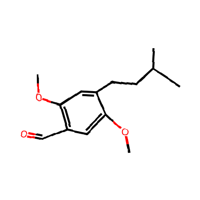 COc1cc(CCC(C)C)c(OC)cc1C=O